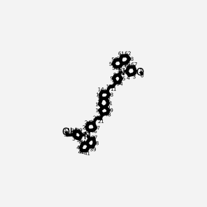 COc1ccc(N(c2ccc(C=Cc3ccc4cc5cc(C=Cc6ccc(N(c7ccc(CO)cc7)c7cccc8ccccc78)cc6)ccc5cc4c3)cc2)c2cccc3ccccc23)cc1